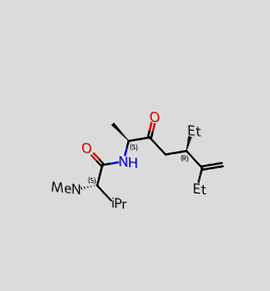 C=C(CC)[C@H](CC)CC(=O)[C@H](C)NC(=O)[C@@H](NC)C(C)C